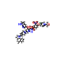 CC(C)c1ccccc1C1CCCN1C1CC2(CCN(c3cnc(C(=O)NS(=O)(=O)c4ccc(OCC5(F)CCN(C6COC6)CC5)c([N+](=O)[O-])c4)c(Oc4cnc5[nH]ccc5c4)c3)CC2)C1